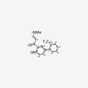 CN/C=C/C(=O)c1nn(-c2ccccc2C(F)(F)F)ccc1=O